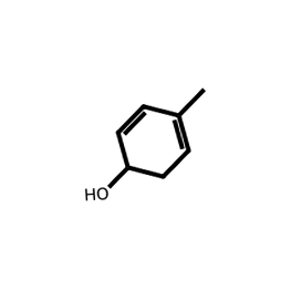 CC1=CCC(O)C=C1